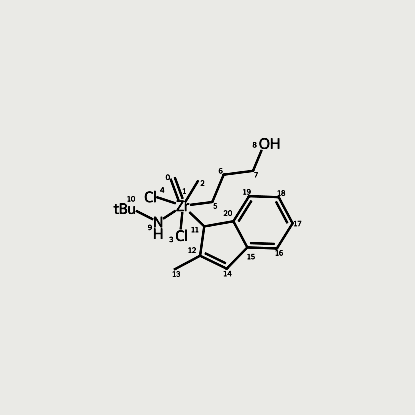 [CH2]=[Zr]([CH3])([Cl])([Cl])([CH2]CCO)([NH]C(C)(C)C)[CH]1C(C)=Cc2ccccc21